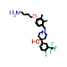 Cc1c(CN2CCC(O)(c3ccc(Cl)c(C(F)(F)F)c3)CC2)ccc(OCCCCN)c1C